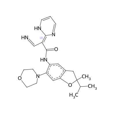 CC(C)C1(C)Cc2cc(NC(=O)/C(C=N)=C3\N=CC=CN3)c(N3CCOCC3)cc2O1